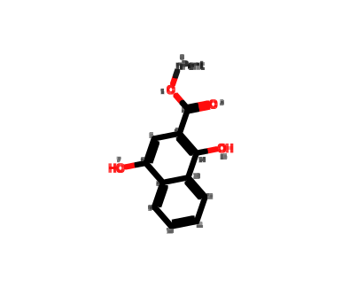 CCCCCOC(=O)c1cc(O)c2ccccc2c1O